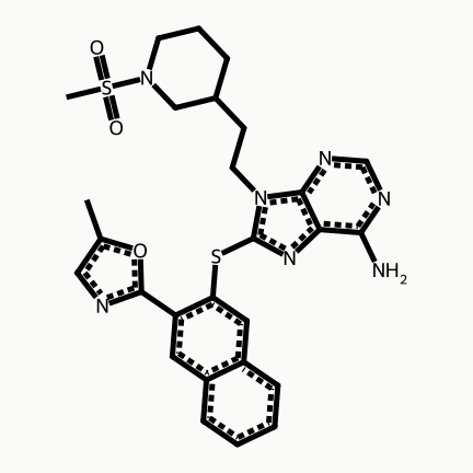 Cc1cnc(-c2cc3ccccc3cc2Sc2nc3c(N)ncnc3n2CCC2CCCN(S(C)(=O)=O)C2)o1